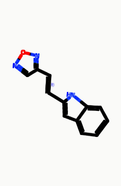 C(=C\c1cc2ccccc2[nH]1)/c1cnon1